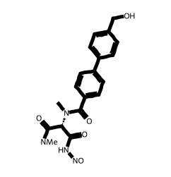 CNC(=O)[C@@H](C(=O)NN=O)N(C)C(=O)c1ccc(-c2ccc(CO)cc2)cc1